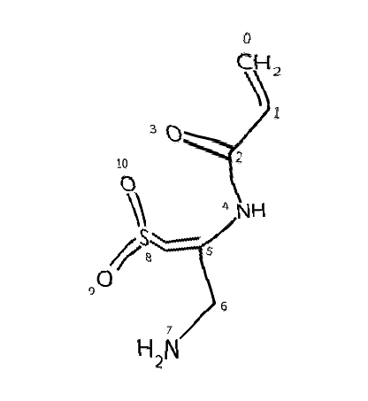 C=CC(=O)NC(CN)=S(=O)=O